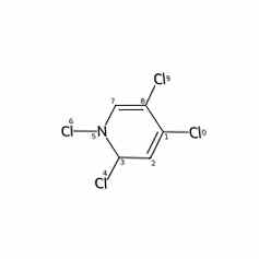 ClC1=CC(Cl)N(Cl)C=C1Cl